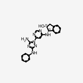 Nc1nc(Nc2ccccc2)nn1-c1cc(N[C@H]2c3ccccc3C[C@H]2O)ncn1